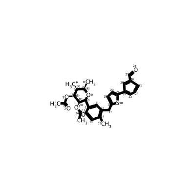 CC(=O)O[C@H]1[C@H](C)[C@@H](C)OC(c2ccc(C)c(Cc3ccc(-c4cccc(C=O)c4)s3)c2)[C@@H]1OC(C)=O